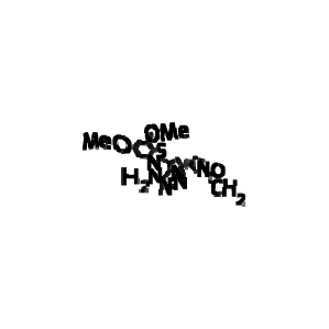 C=CC(=O)N1CC[C@@H](c2cc(-c3nc4cc(OC)cc(OC)c4s3)c3c(N)ncnn23)C1